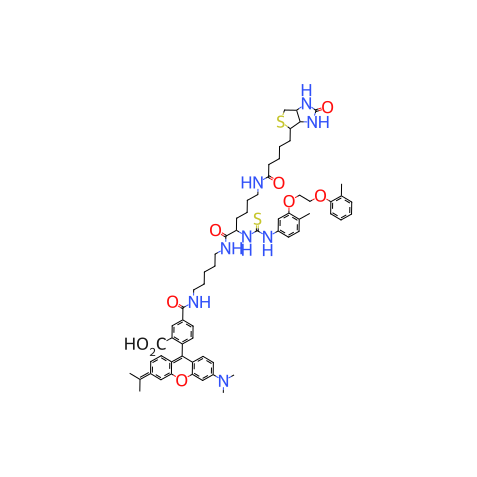 CC(C)=c1ccc2c(c1)Oc1cc(N(C)C)ccc1C=2c1ccc(C(=O)NCCCCCNC(=O)C(CCCCNC(=O)CCCCC2SCC3NC(=O)NC32)NC(=S)Nc2ccc(C)c(OCCOc3ccccc3C)c2)cc1C(=O)O